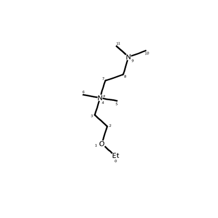 CCOCC[N+](C)(C)CCN(C)C